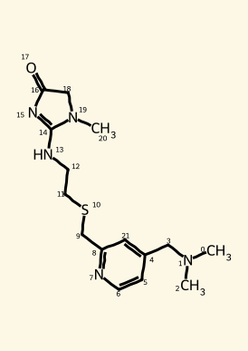 CN(C)Cc1ccnc(CSCCNC2=NC(=O)CN2C)c1